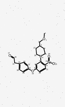 COCC1CCN(c2cc(Oc3ccc(CC=O)cc3)ccc2[N+](=O)[O-])CC1